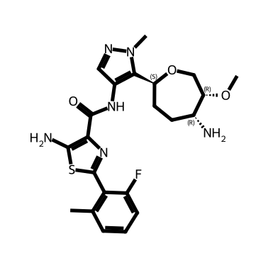 CO[C@H]1CO[C@H](c2c(NC(=O)c3nc(-c4c(C)cccc4F)sc3N)cnn2C)CC[C@H]1N